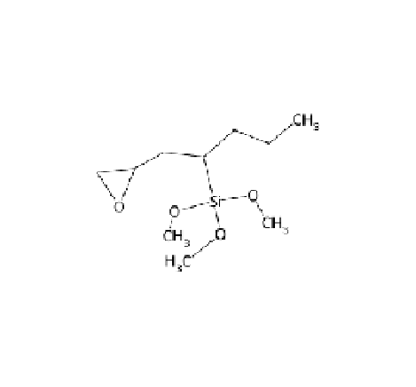 CCCC(CC1CO1)[Si](OC)(OC)OC